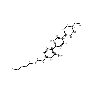 CCCCCCCCc1ccc(-c2ccc(C3CCC(CC)CC3)cn2)c(F)c1